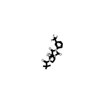 CC(C)(C)C(=O)N1CC2C[C@@H]1[C@@H]1C(=O)N(c3cccc(C(F)(F)F)c3)C(=O)N21